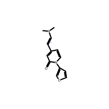 CN(C)/C=C/c1ccn(-c2ccoc2)c(=O)c1